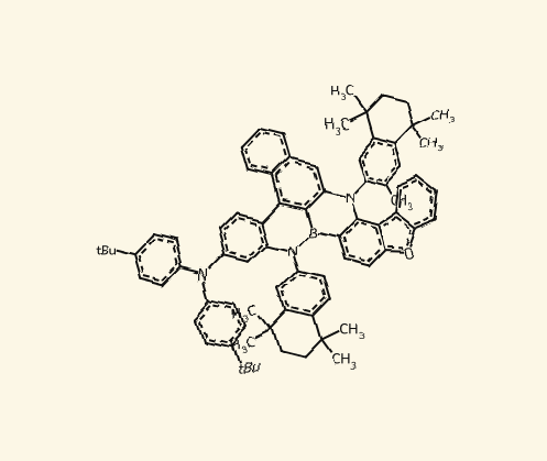 Cc1cc2c(cc1N1c3cc4ccccc4c4c3B(c3ccc5oc6ccccc6c5c31)N(c1ccc3c(c1)C(C)(C)CCC3(C)C)c1cc(N(c3ccc(C(C)(C)C)cc3)c3ccc(C(C)(C)C)cc3)ccc1-4)C(C)(C)CCC2(C)C